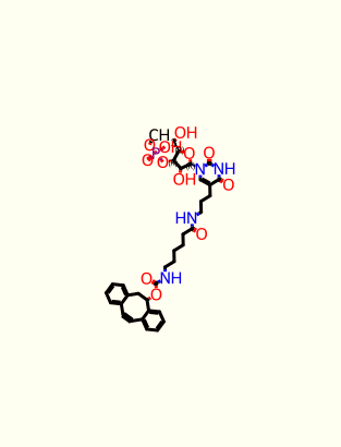 COP(=O)(O)O[C@@H]1C(O)[C@H](n2cc(CCCNC(=O)CCCCCNC(=O)OC3Cc4ccccc4C#Cc4ccccc43)c(=O)[nH]c2=O)O[C@@H]1CO